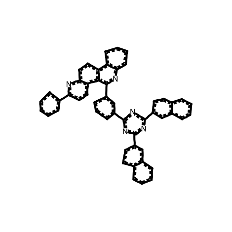 c1ccc(-c2ccc3c(ccc4c5ccccc5nc(-c5cccc(-c6nc(-c7ccc8ccccc8c7)nc(-c7ccc8ccccc8c7)n6)c5)c34)n2)cc1